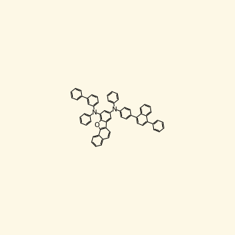 c1ccc(-c2cccc(N(c3ccccc3)c3cc(N(c4ccccc4)c4ccc(-c5ccc(-c6ccccc6)c6ccccc56)cc4)cc4c3oc3c5ccccc5ccc43)c2)cc1